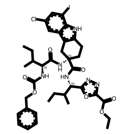 CCOC(=O)c1nnc([C@@H](NC(=O)[C@]2(NC(=O)[C@@H](NC(=O)OCc3ccccc3)C(C)CC)CCc3[nH]c4c(I)cc(Cl)cc4c3C2)C(C)CC)o1